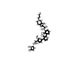 COc1nc(-c2ccnc(-c3cccc(NC(=O)c4nc5c(n4C)CN(CCCF)CC5)c3Cl)c2Cl)ccc1CNC[C@@H]1CCC(=O)N1